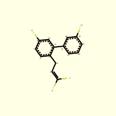 FC(F)=CCc1ccc(F)cc1-c1cccc(F)c1